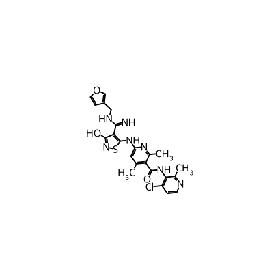 Cc1cc(Nc2snc(O)c2C(=N)NCc2ccoc2)nc(C)c1C(=O)Nc1c(Cl)ccnc1C